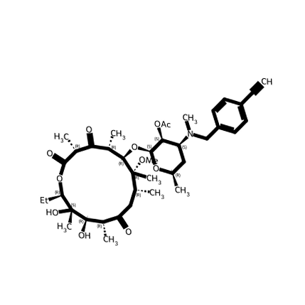 C#Cc1ccc(CN(C)[C@H]2C[C@@H](C)O[C@@H](O[C@@H]3[C@@H](C)C(=O)[C@@H](C)C(=O)O[C@H](CC)[C@@](C)(O)[C@H](O)[C@@H](C)C(=O)C[C@@H](C)[C@@]3(C)OC)[C@H]2OC(C)=O)cc1